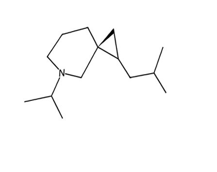 CC(C)CC1C[C@@]12CCCN(C(C)C)C2